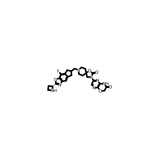 O=C1COc2ncc(N3CC4(CCN(CC5Cc6cc7nc([C@H]8CCN8)oc7c(F)c6C5)CC4)OC3=O)nc2N1